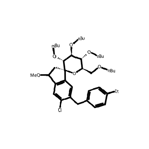 CCCCOC[C@H]1O[C@]2(CC(OC)c3cc(Cl)c(Cc4ccc(CC)cc4)cc32)[C@H](OCCCC)[C@@H](OCCCC)[C@@H]1OCCCC